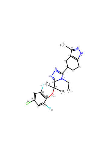 CCn1c(C2CCc3[nH]nc(C)c3C2)nnc1C(C)(C)Oc1c(F)cc(Cl)cc1F